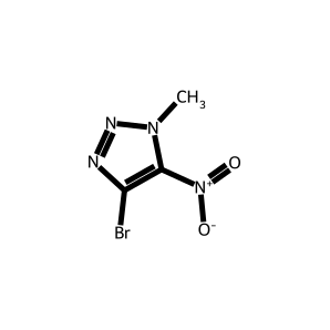 Cn1nnc(Br)c1[N+](=O)[O-]